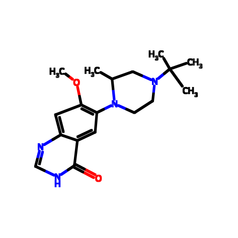 COc1cc2nc[nH]c(=O)c2cc1N1CCN(C(C)(C)C)CC1C